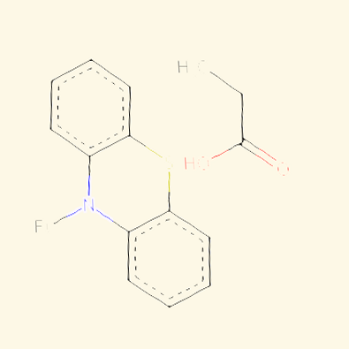 CCC(=O)O.CCN1c2ccccc2Sc2ccccc21